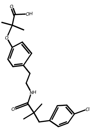 CC(C)(Cc1ccc(Cl)cc1)C(=O)NCCc1ccc(OC(C)(C)C(=O)O)cc1